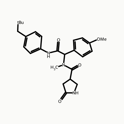 COc1ccc(C(C(=O)Nc2ccc(CC(C)(C)C)cc2)N(C)C(=O)C2CNC(=O)C2)cc1